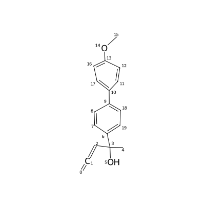 C=C=CC(C)(O)c1ccc(-c2ccc(OC)cc2)cc1